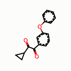 O=C(C(=O)C1CC1)c1cccc(Oc2ccccc2)c1